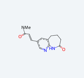 CNC(=O)C=Cc1cnc2c(c1)CCCC(=O)N2